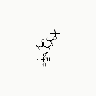 [2H]C([2H])([2H])OC[C@H](NC(=O)OC(C)(C)C)C(=O)OC